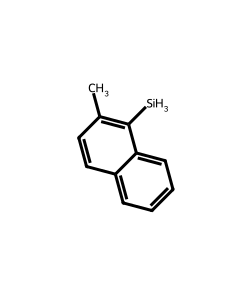 Cc1ccc2ccccc2c1[SiH3]